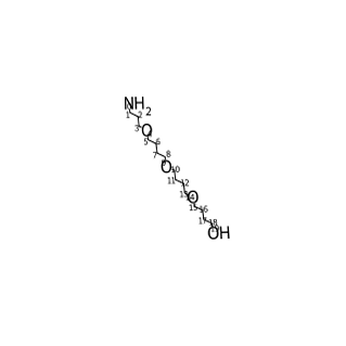 NCCCOCCCCOCCCCOCCCCO